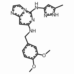 COc1ccc(CNc2cc3nccn3c(Nc3cc(C)[nH]n3)n2)cc1OC